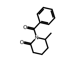 CC1CCCC(=O)N1C(=O)c1ccccc1